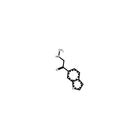 CNCC(=O)c1ccc2ccoc2c1